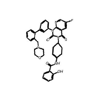 O=C(NC1CCC(n2c(=O)c3cc(F)cnc3n(-c3cccc(-c4ccccc4CN4CCOCC4)c3)c2=O)CC1)c1ccccc1O